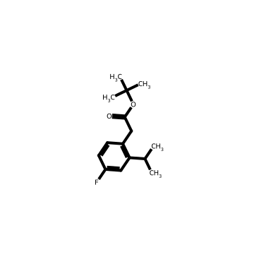 CC(C)c1cc(F)ccc1CC(=O)OC(C)(C)C